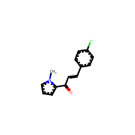 Cn1cccc1C(=O)/C=C/c1ccc(Cl)cc1